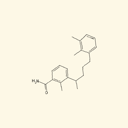 Cc1cccc(CCCC(C)c2cccc(C(N)=O)c2C)c1C